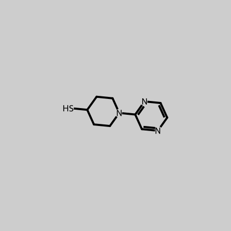 SC1CCN(c2cnccn2)CC1